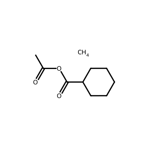 C.CC(=O)OC(=O)C1CCCCC1